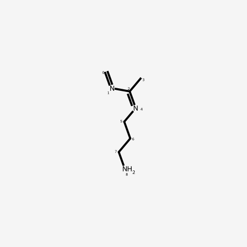 C=N/C(C)=N\CCCN